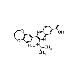 CC(C)N(C)c1nc2cc(C(=O)O)ccc2nc1-c1ccc2c(c1)OCCCO2